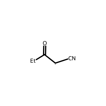 CCC(=O)[CH]C#N